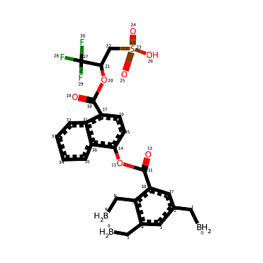 BCc1cc(CB)c(CB)c(C(=O)Oc2ccc(C(=O)OC(CS(=O)(=O)O)C(F)(F)F)c3ccccc23)c1